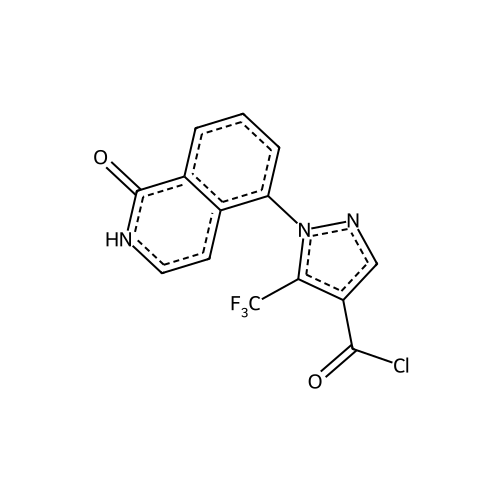 O=C(Cl)c1cnn(-c2cccc3c(=O)[nH]ccc23)c1C(F)(F)F